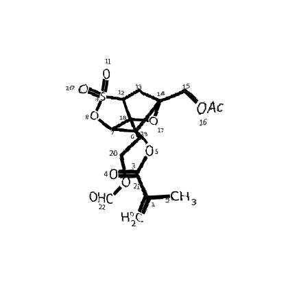 C=C(C)C(=O)OC1C2OS(=O)(=O)C3CC1(COC(C)=O)OC23CCOC=O